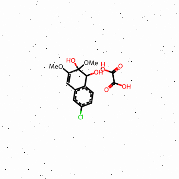 COC1=Cc2cc(Cl)ccc2C(O)C1(O)OC.O=C(O)C(=O)O